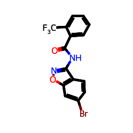 O=C(Nc1noc2cc(Br)ccc12)c1ccccc1C(F)(F)F